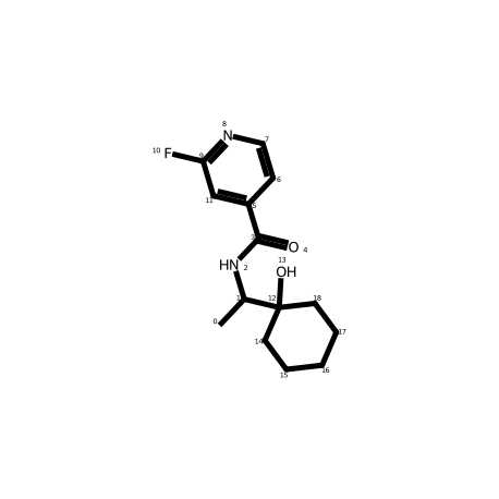 CC(NC(=O)c1ccnc(F)c1)C1(O)CCCCC1